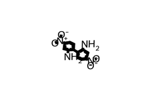 Nc1cc([N+](=O)[O-])ccc1-c1ccc([N+](=O)[O-])cc1N